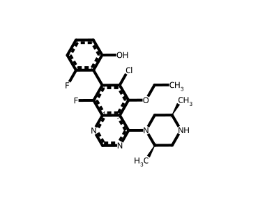 CCOc1c(Cl)c(-c2c(O)cccc2F)c(F)c2ncnc(N3C[C@@H](C)NC[C@H]3C)c12